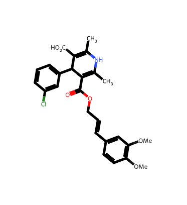 COc1ccc(C=CCOC(=O)C2=C(C)NC(C)=C(C(=O)O)C2c2cccc(Cl)c2)cc1OC